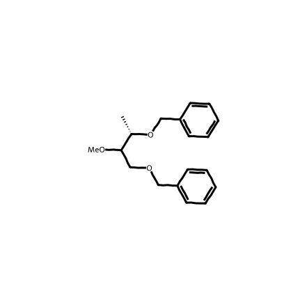 COC(COCc1ccccc1)[C@H](C)OCc1ccccc1